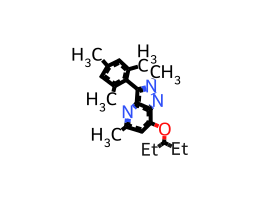 CCC(CC)Oc1cc(C)nc2c(-c3c(C)cc(C)cc3C)n(C)nc12